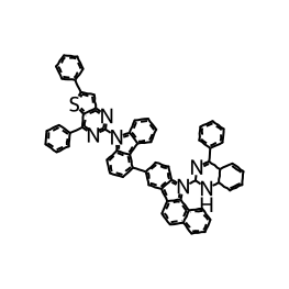 C1=CC2NC(n3c4ccc(-c5cccc6c5c5ccccc5n6-c5nc(-c6ccccc6)c6sc(-c7ccccc7)cc6n5)cc4c4ccc5ccccc5c43)N=C(c3ccccc3)C2C=C1